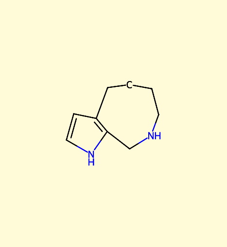 c1cc2c([nH]1)CNCCCC2